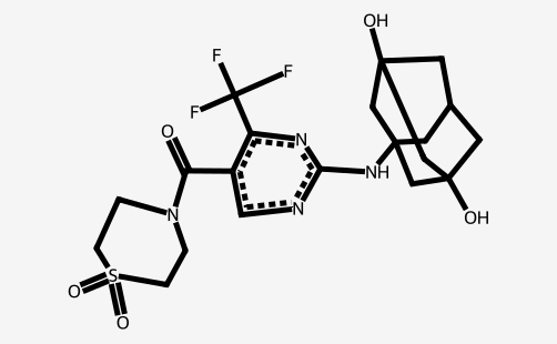 O=C(c1cnc(NC23CC4CC(O)(CC(O)(C4)C2)C3)nc1C(F)(F)F)N1CCS(=O)(=O)CC1